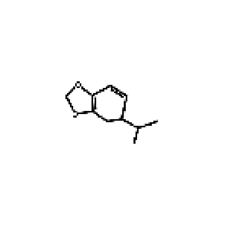 CC(C)C1C=CC2=C(C1)OCO2